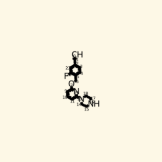 C#Cc1ccc(COc2cccc(N3CCNCC3)n2)c(F)c1